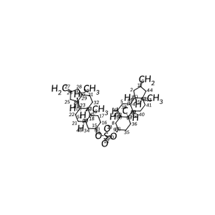 C=C1C[C@H]2[C@@H]3CC[C@@H]4C[C@H](OS(=O)(=O)O[C@@H]5CC[C@@]6(C)[C@H](CC[C@H]7[C@@H]8CC(=C)C[C@@]8(C)CC[C@@H]76)C5)CC[C@]4(C)[C@H]3CC[C@]2(C)C1